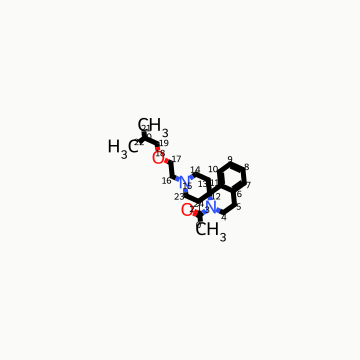 CC(=O)N1CCc2ccccc2C12CCN(CCOCC(C)C)CC2